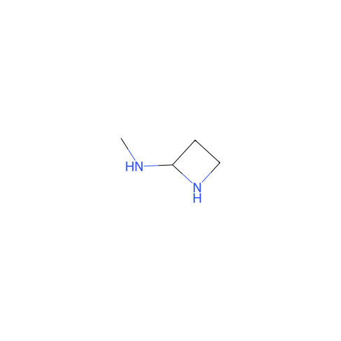 CNC1CCN1